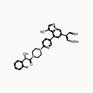 CN/C=C(\C=N)c1cc(-c2ccc(N3CCN(C(=O)C(O)c4ccccc4F)CC3)nc2)c2c(C#N)cnn2c1